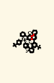 CC(C)(C)c1ccc(N2B3c4ccc5sc6ccccc6c5c4N(c4ccc(C(C)(C)C)cc4-c4ccccc4)c4cc5c(oc6ccccc65)c(c43)-c3ccccc32)cc1